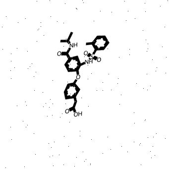 Cc1ccccc1S(=O)(=O)Nc1cc(C(=O)NC(C)C)ccc1Oc1cccc(CC(=O)O)c1